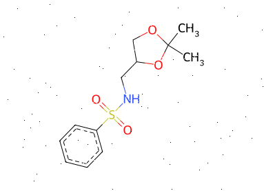 CC1(C)OCC(CNS(=O)(=O)c2ccccc2)O1